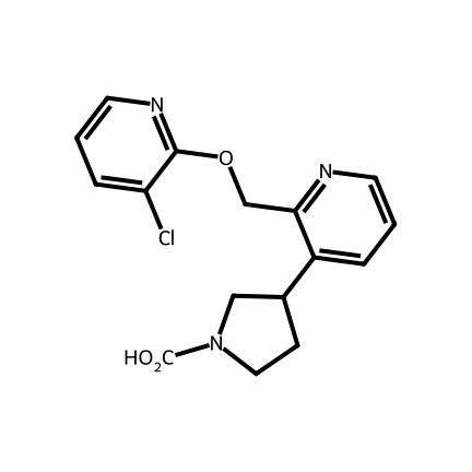 O=C(O)N1CCC(c2cccnc2COc2ncccc2Cl)C1